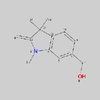 C=C1N(C)c2cc(CO)ccc2C1(C)C